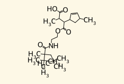 CC1C=CC(C(C(=O)OCCNC(=O)C(C)(CC(C)(C)C)C(C)(C)C)C(C)C(=O)O)C1